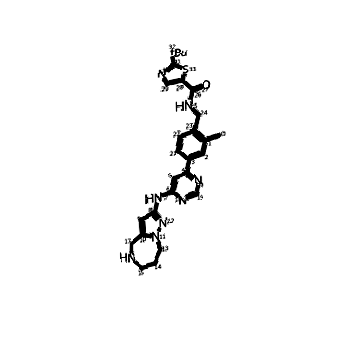 Cc1cc(-c2cc(Nc3cc4n(n3)CCCNC4)ncn2)ccc1CNC(=O)c1cnc(C(C)(C)C)s1